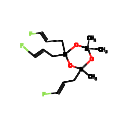 C[Si]1(C)O[Si](C)(CC=CF)O[Si](CC=CF)(CC=CF)O1